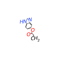 C=CC(=O)Oc1ccc2[nH]cnc2c1